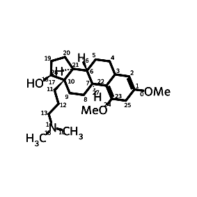 COC1=CC2CC[C@@H]3[C@H](CC[C@]4(CCCN(C)C)[C@@H](O)CC[C@@H]34)C2=C(OC)C1